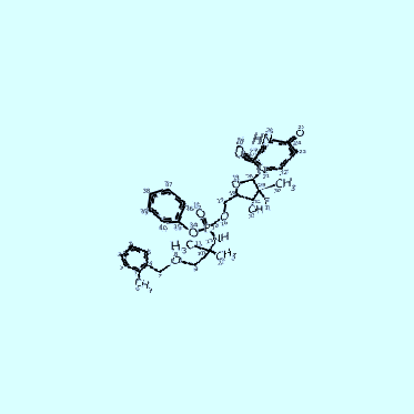 Cc1ccccc1COCC(C)(C)NP(=O)(OCC1O[C@@H](n2ccc(=O)[nH]c2=O)[C@](C)(F)[C@@H]1O)Oc1ccccc1